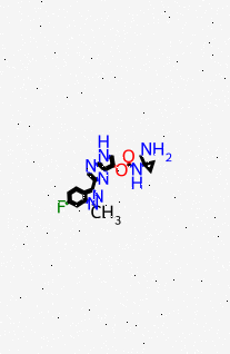 Cn1nc(-c2cnc3[nH]cc(OC(=O)NC4(CN)CC4)c3n2)c2ccc(F)cc21